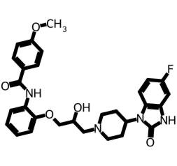 COc1ccc(C(=O)Nc2ccccc2OCC(O)CN2CCC(n3c(=O)[nH]c4cc(F)ccc43)CC2)cc1